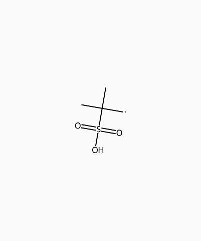 [CH2]C(C)(C)S(=O)(=O)O